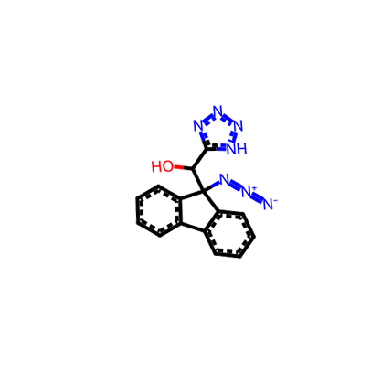 [N-]=[N+]=NC1(C(O)c2nnn[nH]2)c2ccccc2-c2ccccc21